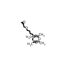 C[SiH]1C[Si](C)(CCCCOCC2CO2)O[SiH](C)O[SiH](C)O1